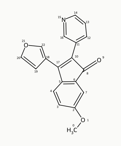 COc1ccc2c(c1)C(=O)C(c1cccnc1)=C2c1ccoc1